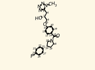 Cn1nnnc1C[C@@H](O)COc1ccc(C(=O)N2CC[C@H](c3ccc(F)cc3)C2)cc1